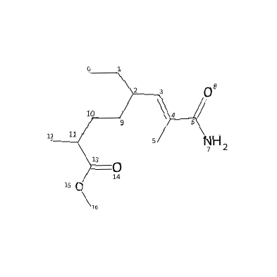 CCC(/C=C(\C)C(N)=O)CCC(C)C(=O)OC